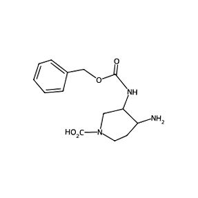 NC1CCN(C(=O)O)CC1NC(=O)OCc1ccccc1